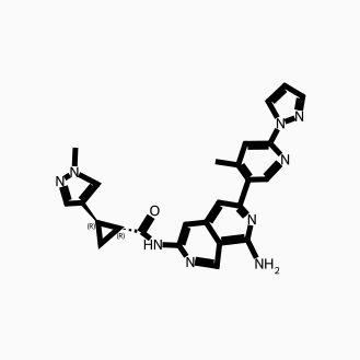 Cc1cc(-n2cccn2)ncc1-c1cc2cc(NC(=O)[C@@H]3C[C@H]3c3cnn(C)c3)ncc2c(N)n1